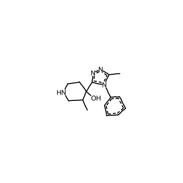 Cc1nnc(C2(O)CCNCC2C)n1-c1ccccc1